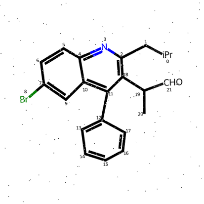 CC(C)Cc1nc2ccc(Br)cc2c(-c2ccccc2)c1C(C)C=O